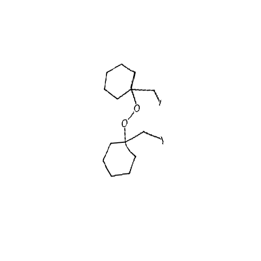 ICC1(OOC2(CI)CCCCC2)CCCCC1